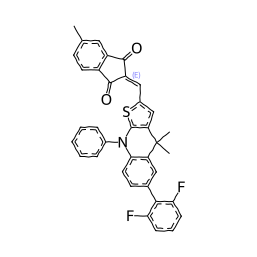 Cc1ccc2c(c1)C(=O)/C(=C/c1cc3c(s1)N(c1ccccc1)c1ccc(-c4c(F)cccc4F)cc1C3(C)C)C2=O